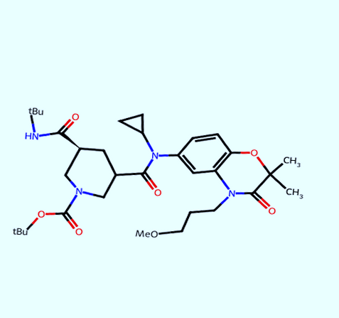 COCCCN1C(=O)C(C)(C)Oc2ccc(N(C(=O)C3C[C@H](C(=O)NC(C)(C)C)CN(C(=O)OC(C)(C)C)C3)C3CC3)cc21